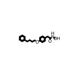 O=C(Cc1ccc(OCCCCc2ccccc2)cc1)NO